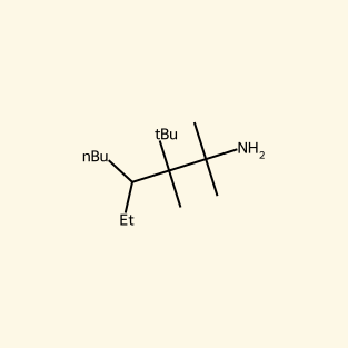 CCCCC(CC)C(C)(C(C)(C)C)C(C)(C)N